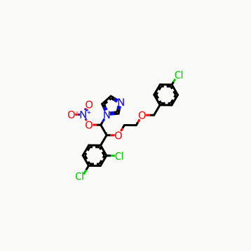 O=[N+]([O-])OC([C](OCCOCc1ccc(Cl)cc1)c1ccc(Cl)cc1Cl)n1ccnc1